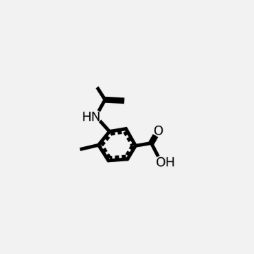 C=C(C)Nc1cc(C(=O)O)ccc1C